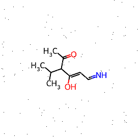 CC(=O)C(/C(O)=C/C=N)C(C)C